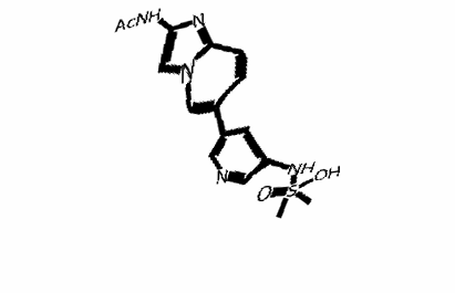 CC(=O)Nc1cn2cc(-c3cncc(NS(C)(C)(=O)O)c3)ccc2n1